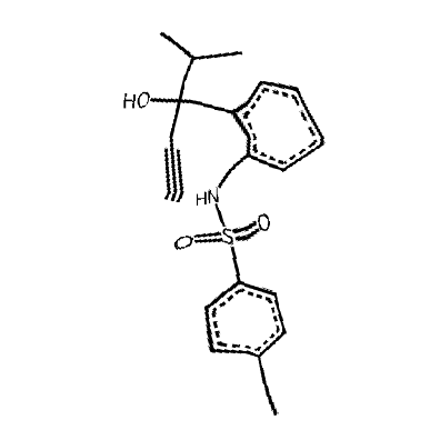 C#CC(O)(c1ccccc1NS(=O)(=O)c1ccc(C)cc1)C(C)C